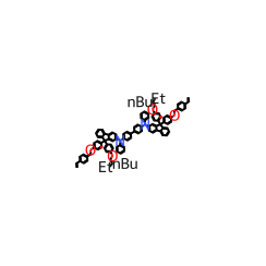 C=Cc1ccc(COc2ccc(C3(c4ccc(OCC(CC)CCCC)cc4)c4ccccc4-c4ccc(N(c5ccccc5)c5ccc(-c6ccc(N(c7ccccc7)c7ccc8c(c7)C(c7ccc(OCc9ccc(C=C)cc9)cc7)(c7ccc(OCC(CC)CCCC)cc7)c7ccccc7-8)cc6)cc5)cc43)cc2)cc1